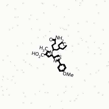 COc1ccc(-c2nc(-c3cc(C(=O)O)c(C)n3C(CCC(N)=O)CC3CCCCC3)cs2)cc1